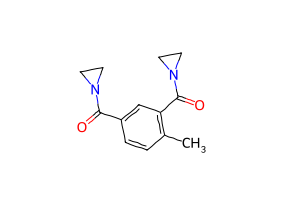 Cc1ccc(C(=O)N2CC2)cc1C(=O)N1CC1